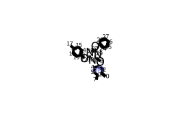 C=C/C=C(\C=C/CC)Oc1nc(OC2=CCC(C)C=C2)nc(Oc2ccccc2)n1